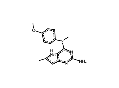 COc1ccc(N(C)c2nc(N)nc3cc(C)[nH]c23)cc1